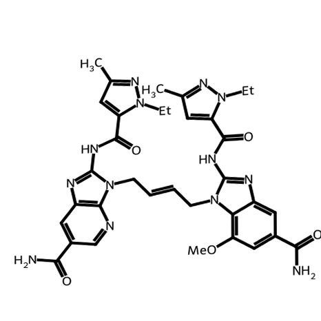 CCn1nc(C)cc1C(=O)Nc1nc2cc(C(N)=O)cnc2n1CC=CCn1c(NC(=O)c2cc(C)nn2CC)nc2cc(C(N)=O)cc(OC)c21